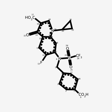 O=C(O)c1ccc(CN(c2cc3c(cc2F)c(=O)c(C(=O)O)cn3C2CC2)S(=O)(=O)C(F)(F)F)cc1